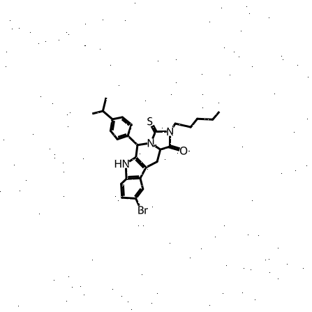 CCCCCN1C(=O)C2Cc3c([nH]c4ccc(Br)cc34)C(c3ccc(C(C)C)cc3)N2C1=S